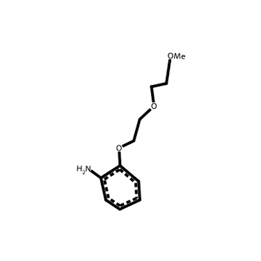 COCCOCCOc1ccccc1N